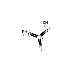 [KH].[KH].[O]=[Ti](=[O])=[O]